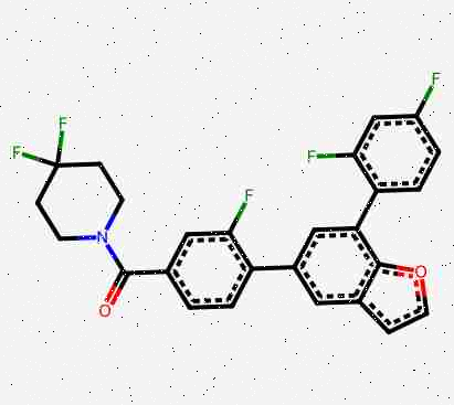 O=C(c1ccc(-c2cc(-c3ccc(F)cc3F)c3occc3c2)c(F)c1)N1CCC(F)(F)CC1